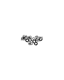 CC(C)(C)CCC1(NCc2cccnc2)C(=O)C(C2=NS(=O)(=O)c3cc(NS(C)(=O)=O)ccc3N2)=C(O)c2ccccc21